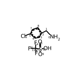 NCc1ccc(Cl)cc1.O=S(=O)(O)C(F)(F)F